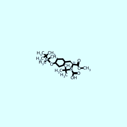 COC(=O)[C@H](CC1CCC(O[Si](C)(C)C(C)(C)C)CC1)N(C(=O)O)C(C)(C)C